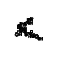 [N-]=[N+]=NC(O)CSCC[C@H](NC(=O)[C@H](Cc1ccccc1)NC(=O)CNC(=O)CNC(=O)[C@@H](N)Cc1ccc(O)cc1)C(N)=O